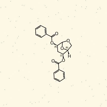 O=C(O[C@H]1C[C@@H](OC(=O)c2ccccc2)C2OC[C@H]1O2)c1ccccc1